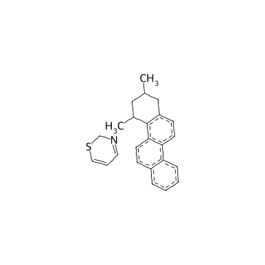 C1=CSCN=C1.CC1Cc2ccc3c(ccc4ccccc43)c2C(C)C1